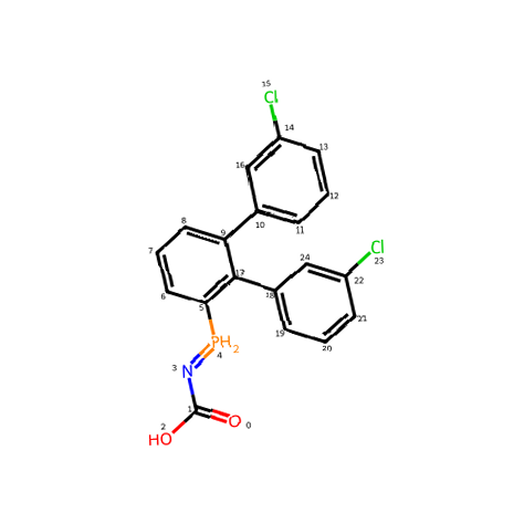 O=C(O)N=[PH2]c1cccc(-c2cccc(Cl)c2)c1-c1cccc(Cl)c1